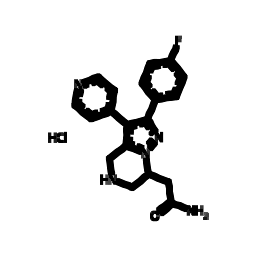 Cl.NC(=O)CC1CNCc2c(-c3ccncc3)c(-c3ccc(F)cc3)nn21